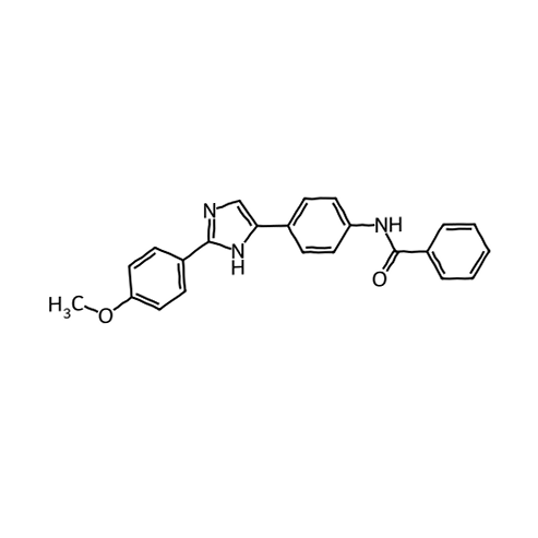 COc1ccc(-c2ncc(-c3ccc(NC(=O)c4ccccc4)cc3)[nH]2)cc1